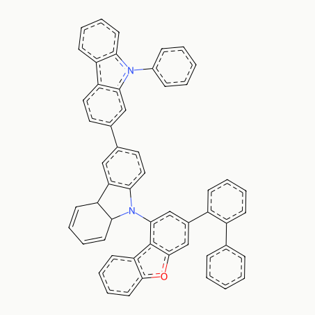 C1=CC2c3cc(-c4ccc5c6ccccc6n(-c6ccccc6)c5c4)ccc3N(c3cc(-c4ccccc4-c4ccccc4)cc4oc5ccccc5c34)C2C=C1